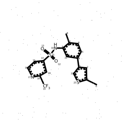 Cc1cc(-c2ccc(C)c(NS(=O)(=O)c3ccnc(C(F)(F)F)c3)c2)cs1